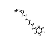 [CH2]CCOCCCCCCCc1ccccc1